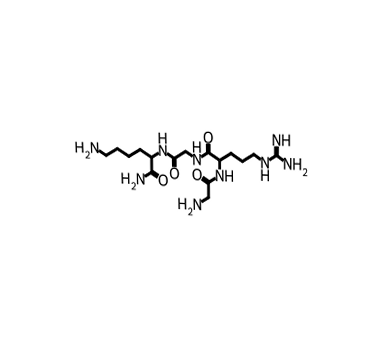 N=C(N)NCCCC(NC(=O)CN)C(=O)NCC(=O)NC(CCCCN)C(N)=O